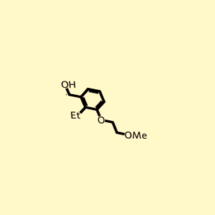 CCc1c([CH]O)cccc1OCCOC